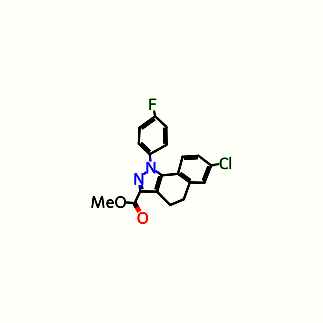 COC(=O)c1nn(-c2ccc(F)cc2)c2c1CCc1cc(Cl)ccc1-2